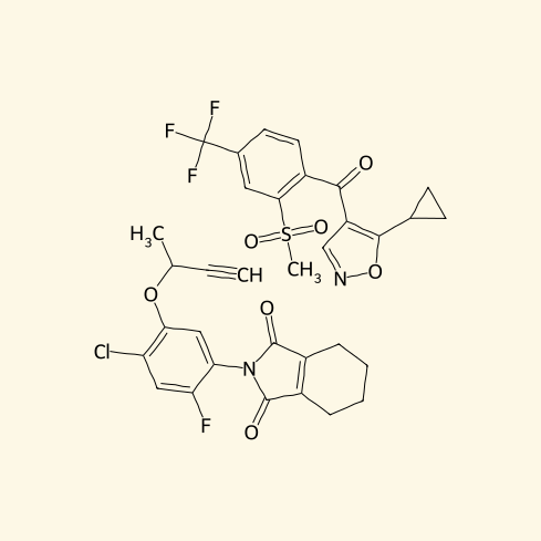 C#CC(C)Oc1cc(N2C(=O)C3=C(CCCC3)C2=O)c(F)cc1Cl.CS(=O)(=O)c1cc(C(F)(F)F)ccc1C(=O)c1cnoc1C1CC1